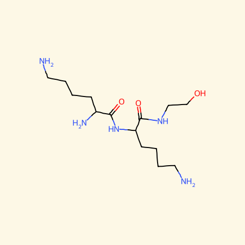 NCCCCC(N)C(=O)NC(CCCCN)C(=O)NCCO